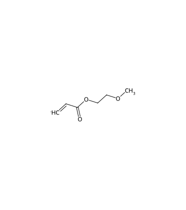 [CH]=CC(=O)OCCOC